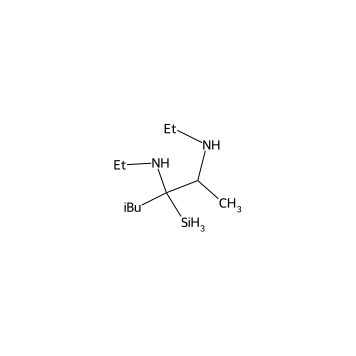 CCNC(C)C([SiH3])(NCC)C(C)CC